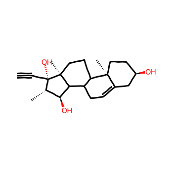 C#C[C@]1(O)[C@@H](C)[C@H](O)C2C3CC=C4C[C@H](O)CC[C@]4(C)C3CC[C@@]21C